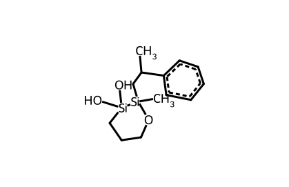 CC(C[Si]1(C)OCCC[Si]1(O)O)c1ccccc1